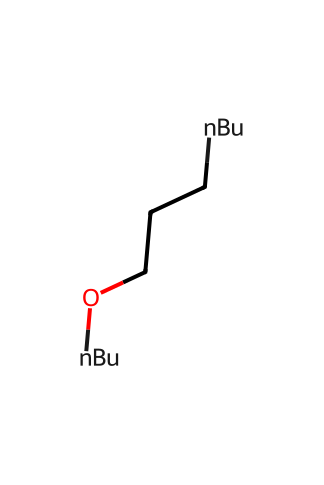 CC[CH]CCCCOCCCC